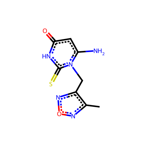 Cc1nonc1Cn1c(N)cc(=O)[nH]c1=S